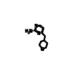 Nc1nccc(CC2CCOCC2)n1